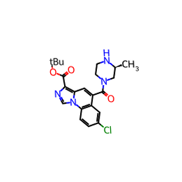 C[C@H]1CN(C(=O)c2cc3c(C(=O)OC(C)(C)C)ncn3c3ccc(Cl)cc23)CCN1